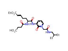 CCOC(=O)/C=C/CCC(NC(=O)CCC(=O)O)C(=O)Nc1cccn(CC(=O)NCC(CC)CC)c1=O